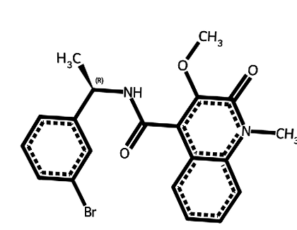 COc1c(C(=O)N[C@H](C)c2cccc(Br)c2)c2ccccc2n(C)c1=O